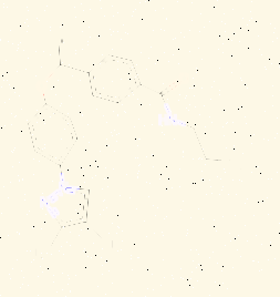 CCCC(Oc1ccc(-n2cc(C(F)(F)F)c(C)n2)cc1)c1ccc(C(=O)NCCC(=O)O)cc1